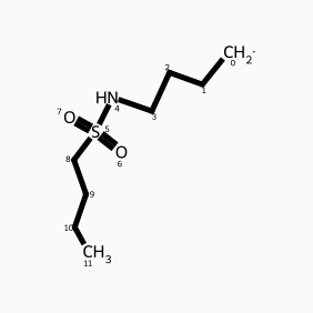 [CH2]CCCNS(=O)(=O)CCCC